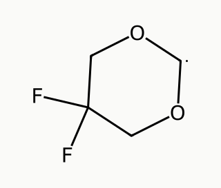 FC1(F)CO[CH]OC1